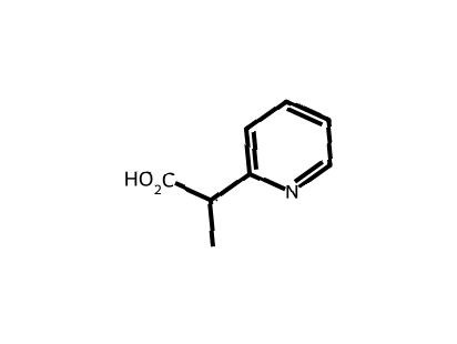 C[C](C(=O)O)c1ccccn1